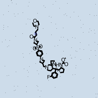 COC(=O)N[C@H]1CCC[C@@H]1[C@@](CN1CCC1)(c1cccc(F)c1)C1CCN(CC2CN(c3ccc(S(=O)(=O)C4CN(C(=O)/C=C/CN5CCOCC5)C4)cc3)C2)CC1